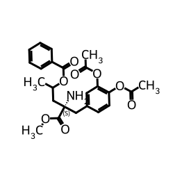 COC(=O)[C@](N)(Cc1ccc(OC(C)=O)c(OC(C)=O)c1)CC(C)OC(=O)c1ccccc1